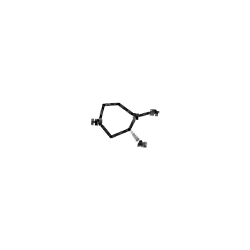 CC(=O)[C@@H]1CNCCN1C(C)C